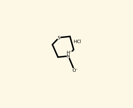 Cl.[O-][NH+]1CCSCC1